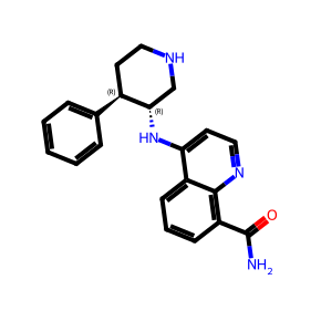 NC(=O)c1cccc2c(N[C@H]3CNCC[C@@H]3c3ccccc3)ccnc12